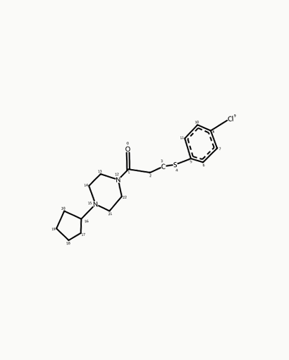 O=C(CCSc1ccc(Cl)cc1)N1CCN(C2CCCC2)CC1